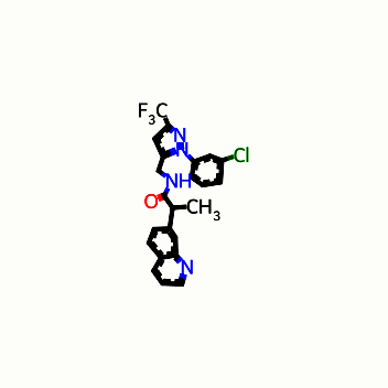 CC(C(=O)NCc1cc(C(F)(F)F)nn1-c1cccc(Cl)c1)c1ccc2cccnc2c1